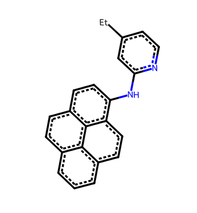 CCc1ccnc(Nc2ccc3ccc4cccc5ccc2c3c45)c1